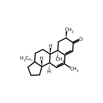 CC1=C[C@H]2[C@@H]3CCC[C@@]3(C)CC[C@@H]2[C@@]2(C)C[C@@H](C)C(=O)C=C12